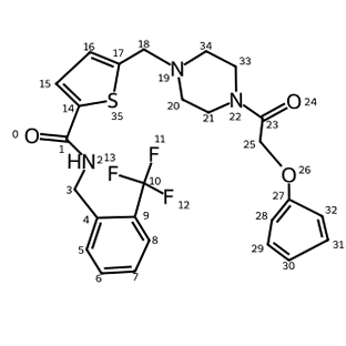 O=C(NCc1ccccc1C(F)(F)F)c1ccc(CN2CCN(C(=O)COc3ccccc3)CC2)s1